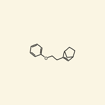 C1=C(CCOc2ccccc2)C2CCC1C2